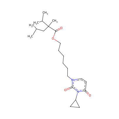 CC(C)CC(C)(C(=O)OCCCCCCn1ccc(=O)n(C2CC2)c1=O)C(C)C